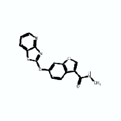 CNC(=O)c1coc2cc(Oc3nc4ncccc4s3)ccc12